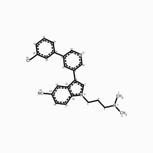 CN(C)CCCn1cc(-c2cncc(-c3cccc(Cl)c3)c2)c2cc(C#N)ccc21